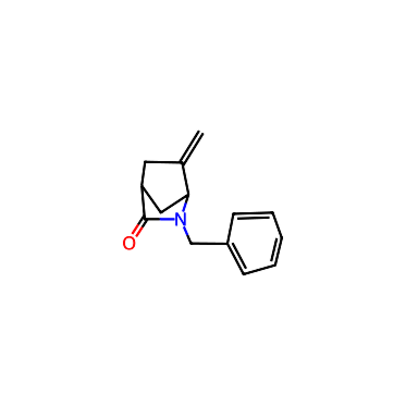 C=C1CC2CC1N(Cc1ccccc1)C2=O